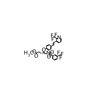 COC(=O)CC[C@H]1CN(S(=O)(=O)c2cccc(C(F)(F)F)c2)c2cc(/C=C/c3cccnc3C(F)(F)F)ccc2O1